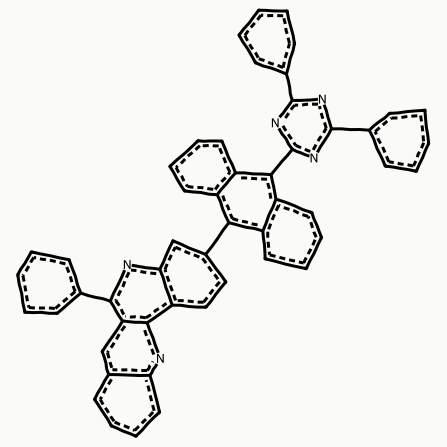 c1ccc(-c2nc(-c3ccccc3)nc(-c3c4ccccc4c(-c4ccc5c(c4)nc(-c4ccccc4)c4cc6ccccc6nc45)c4ccccc34)n2)cc1